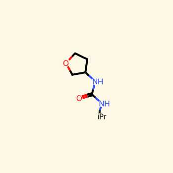 CC(C)NC(=O)NC1CCOC1